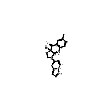 Cc1ccc2c(c1)C(=O)C1(O)CCN(c3ccn4nccc4c3)C1=N2